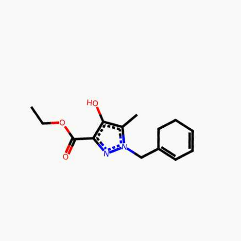 CCOC(=O)c1nn(CC2=CC=CCC2)c(C)c1O